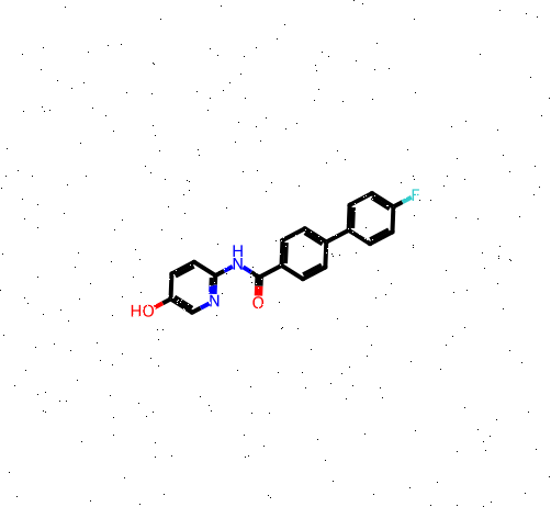 O=C(Nc1ccc(O)cn1)c1ccc(-c2ccc(F)cc2)cc1